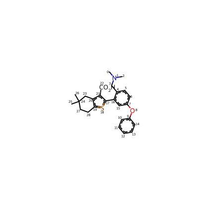 CN(C)Cc1ccc(Oc2ccccc2)cc1-c1sc2c(c1C(=O)O)CC(C)(C)CC2